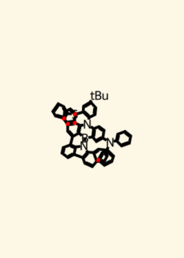 CC(C)(C)c1ccc(N2c3ccc(N(c4ccccc4)c4ccccc4)cc3B3c4c(cc5c(sc6ccccc65)c42)-c2cccc4c5ccc6ccccc6c5n3c24)c(-c2ccccc2)c1